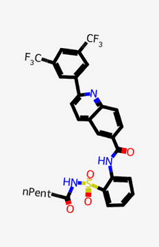 CCCCCC(=O)NS(=O)(=O)c1ccccc1NC(=O)c1ccc2nc(-c3cc(C(F)(F)F)cc(C(F)(F)F)c3)ccc2c1